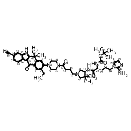 CCc1cc2c(cc1N1CCN(C(=O)CCCN3C[C@H](NC(=O)[C@@H](CCCn4ccnc4N)NC(=O)OC(C)(C)C)C(C)(C)C3)CC1)C(C)(C)c1[nH]c3cc(C#N)ccc3c1C2=O